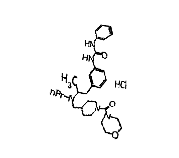 CCCN(CC1CCN(C(=O)N2CCOCC2)CC1)C(C)Cc1cccc(NC(=O)Nc2ccccc2)c1.Cl